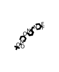 CC(C)(C)OC(=O)N1CCC(Oc2cccc(CN3CCC(F)(F)CC3)n2)CC1